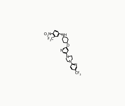 O=[N+]([O-])c1ccc(N[C@H]2CC[C@H](Oc3cncc(N4CCN(c5ccc(C(F)(F)F)cn5)CC4)c3)CC2)cc1C(F)(F)F